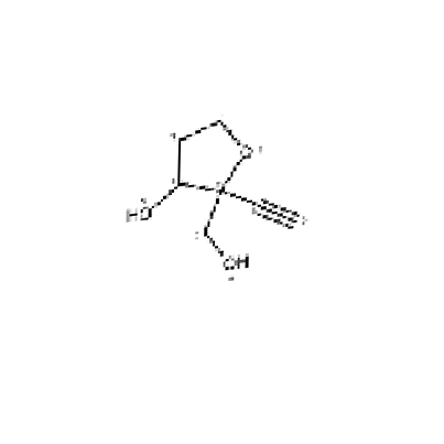 C#CC1(CO)OCCC1O